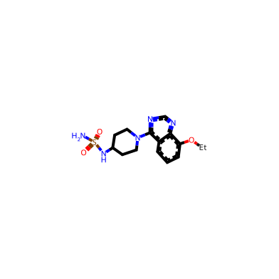 CCOc1cccc2c(N3CCC(NS(N)(=O)=O)CC3)ncnc12